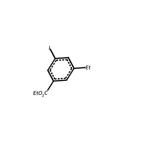 CCOC(=O)c1cc(I)cc(CC)c1